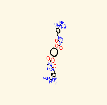 CN(C(=O)NCc1ccc(NC(=N)N)cc1)C(=O)O[C@H]1CCC[C@@H](OC(=O)N(C)C(=O)NCc2ccc(NC(=N)N)cc2)CCC1